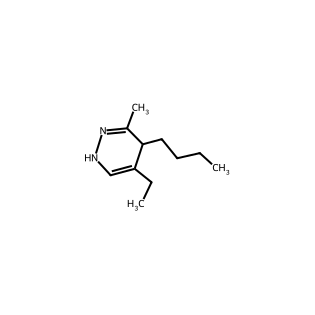 CCCCC1C(CC)=CNN=C1C